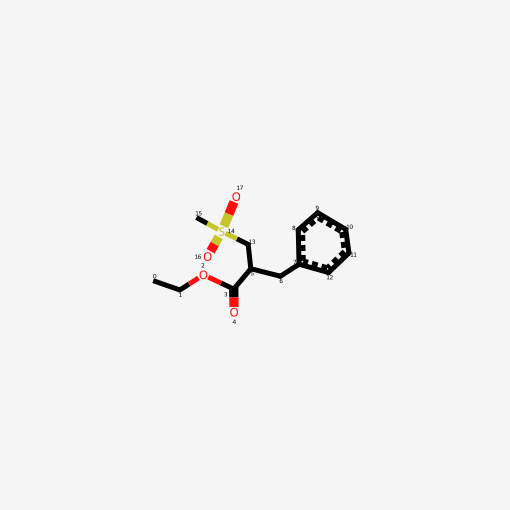 CCOC(=O)C(Cc1ccccc1)CS(C)(=O)=O